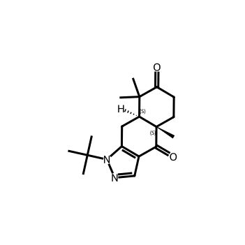 CC1(C)C(=O)CC[C@]2(C)C(=O)c3cnn(C(C)(C)C)c3C[C@@H]12